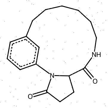 O=C1NCCCCCCc2cccc(c2)N2C(=O)CCC12